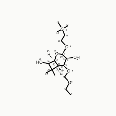 CCOCO[C@@H]1[C@H](O)[C@H](OCC[Si](C)(C)C)O[C@@H]2C(O)C(C)(C)[C@@]21O